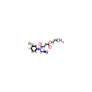 CCCOC(=O)CCC(=O)N(CC#N)c1cccc(Br)c1